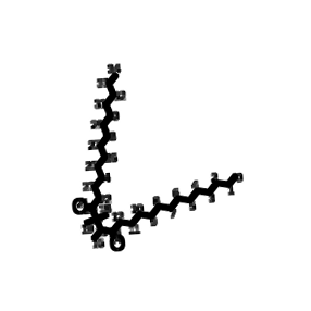 CCCCCCCCCCCCCC(=O)C(C)C(C)(C)C(=O)CCCCCCCCCCCCC